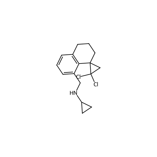 ClC1(Cl)CC12CCCc1cccc(CNC3CC3)c12